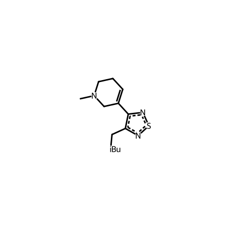 CCC(C)Cc1nsnc1C1=CCCN(C)C1